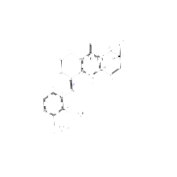 COc1cccc(/C=C2\CCCc3c2nc2n(c3=O)C3CC3(C(=O)O)C=C2)c1OC